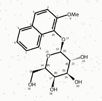 COc1ccc2ccccc2c1O[C@@H]1O[C@H](CO)[C@H](O)[C@H](O)[C@H]1O